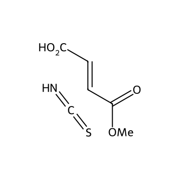 COC(=O)/C=C/C(=O)O.N=C=S